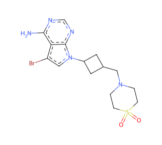 Nc1ncnc2c1c(Br)cn2C1CC(CN2CCS(=O)(=O)CC2)C1